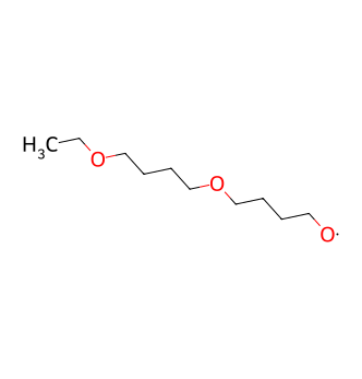 CCOCCCCOCCCC[O]